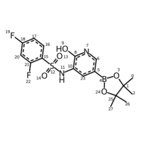 CC1(C)OB(c2cnc(O)c(NS(=O)(=O)c3ccc(F)cc3F)c2)OC1(C)C